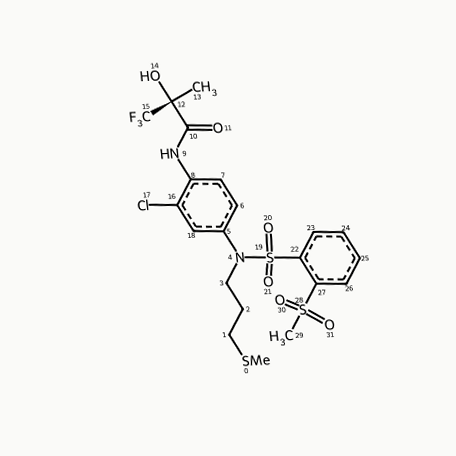 CSCCCN(c1ccc(NC(=O)[C@@](C)(O)C(F)(F)F)c(Cl)c1)S(=O)(=O)c1ccccc1S(C)(=O)=O